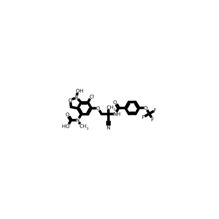 CN(C(=O)O)c1cc(OCC(C)(C#N)NC(=O)c2ccc(OC(F)(F)F)cc2)c(Cl)c2c1COB2O